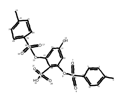 Cc1ccc(S(=O)(=O)Oc2cc(O)cc(OS(=O)(=O)c3ccc(C)cc3)c2S(=O)(=O)O)cc1